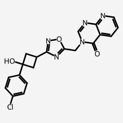 O=c1c2cccnc2ncn1Cc1nc(C2CC(O)(c3ccc(Cl)cc3)C2)no1